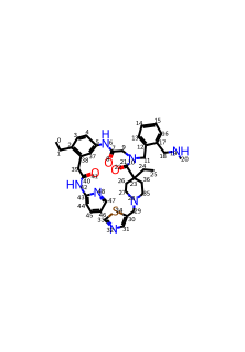 CCc1ccc(NC(=O)CN(Cc2ccccc2CNC)C(=O)C2(CC)CCN(Cc3cncs3)CC2)cc1CC(=O)Nc1ccccn1